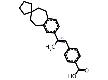 C/C(=C\c1ccc(C(=O)O)cc1)c1ccc2c(c1)CCC1(CCCC1)CC2